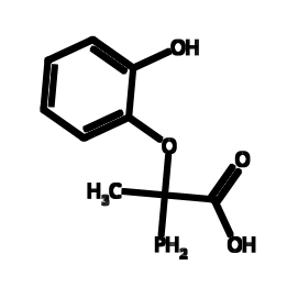 CC(P)(Oc1ccccc1O)C(=O)O